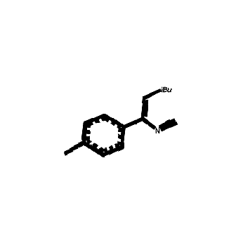 C=N/C(=C\C(C)CC)c1ccc(C)cc1